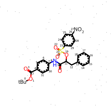 CC(C)(C)OC(=O)c1ccc(NC(=O)C(Cc2ccccc2)OS(=O)(=O)c2ccc([N+](=O)[O-])cc2)cc1